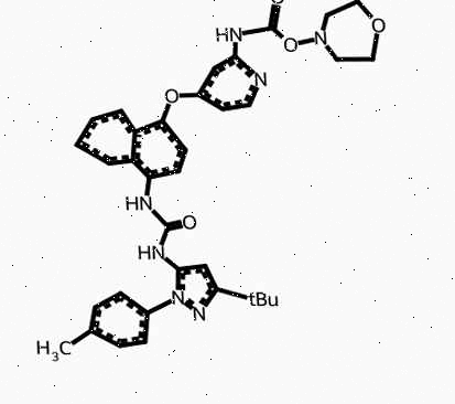 Cc1ccc(-n2nc(C(C)(C)C)cc2NC(=O)Nc2ccc(Oc3ccnc(NC(=O)ON4CCOCC4)c3)c3ccccc23)cc1